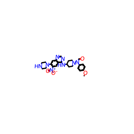 COc1ccc(N(C=O)N2CCC(Nc3ncnc4cc(N5CCNCC5)c([N+](=O)[O-])cc34)CC2)cc1